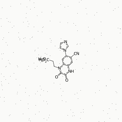 N#Cc1cc2[nH]c(=O)c(=O)n(CCC(=O)O)c2cc1-n1ccnc1.O